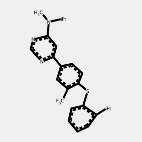 CC(C)c1ccccc1Sc1ccc(-c2cc(N(C)C(C)C)ncn2)cc1C(F)(F)F